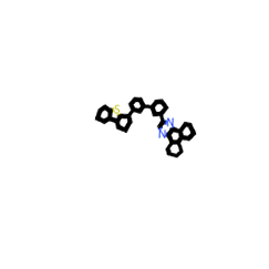 C1=Cc2c(c3ccccc3c3nc(-c4cccc(-c5cccc(-c6cccc7c6sc6ccccc67)c5)c4)cnc23)CC1